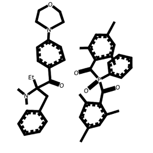 CCC(Cc1ccccc1)(C(=O)c1ccc(N2CCOCC2)cc1)N(C)C.Cc1cc(C)c(C(=O)P(=O)(C(=O)c2c(C)cc(C)cc2C)c2ccccc2)c(C)c1